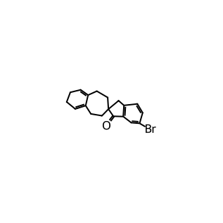 O=C1c2cc(Br)ccc2CC12CCC1=CCCC=C1CC2